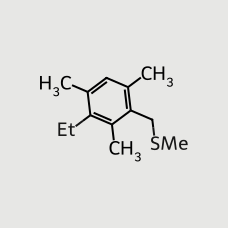 CCc1c(C)cc(C)c(CSC)c1C